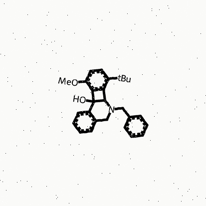 COc1ccc(C(C)(C)C)c2c1C1(O)c3ccccc3CN(Cc3ccccc3)C21